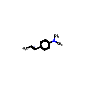 [CH2]/C=C/c1ccc(N(C)C)cc1